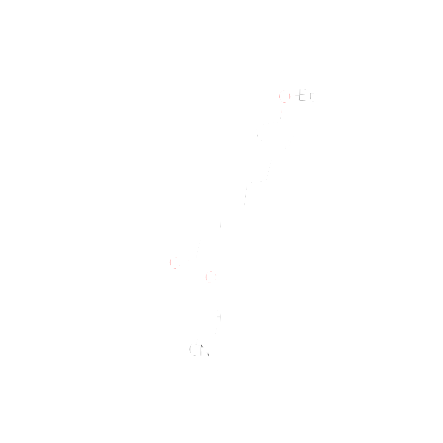 CCOc1ccc(CCCCCCC(=O)Oc2ccc(C#N)cc2)cc1